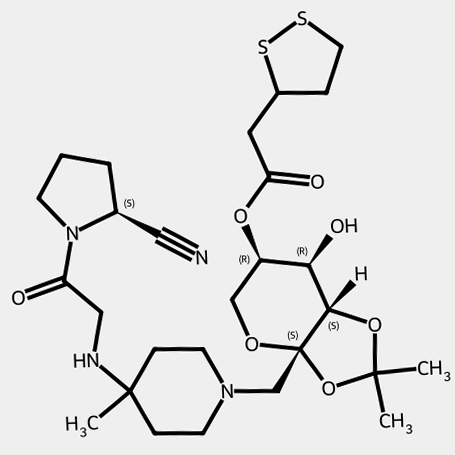 CC1(NCC(=O)N2CCC[C@H]2C#N)CCN(C[C@@]23OC[C@@H](OC(=O)CC4CCSS4)[C@@H](O)[C@@H]2OC(C)(C)O3)CC1